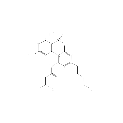 CCCCCc1cc(OC(=O)CC(C)O)c2c(c1)OC(C)(C)C1CCC(C)=CC21